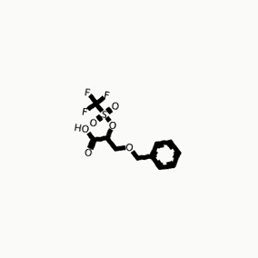 O=C(O)C(COCc1ccccc1)OS(=O)(=O)C(F)(F)F